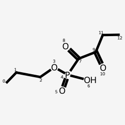 CCCOP(=O)(O)C(=O)C(=O)CC